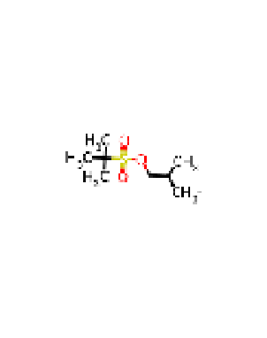 [CH2]C(C)COS(=O)(=O)C(C)(C)C